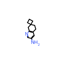 Nc1cnc2c(c1)CCC1(CCC1)C2